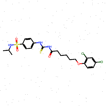 CC(C)NS(=O)(=O)c1ccc(NC(=S)NC(=O)CCCCCOc2ccc(Cl)cc2Cl)cc1